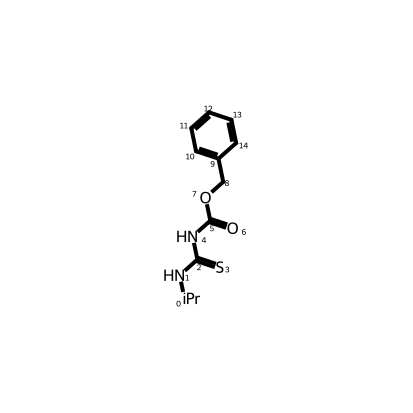 CC(C)NC(=S)NC(=O)OCc1ccccc1